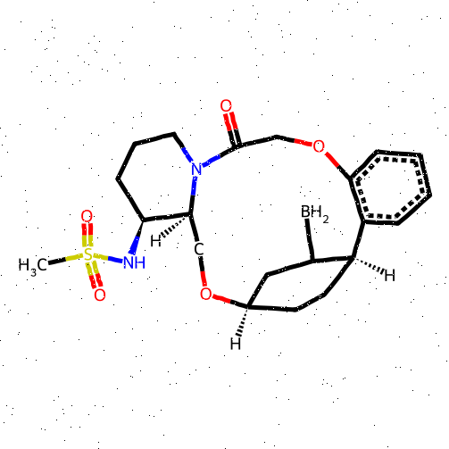 BC1C[C@H]2CC[C@@H]1c1ccccc1OCC(=O)N1CCC[C@H](NS(C)(=O)=O)[C@@H]1CO2